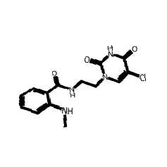 CNc1ccccc1C(=O)NCCn1cc(Cl)c(=O)[nH]c1=O